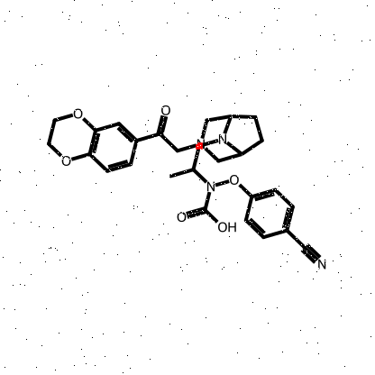 CC(CN1C2CCC1CN(CC(=O)c1ccc3c(c1)OCCO3)C2)N(Oc1ccc(C#N)cc1)C(=O)O